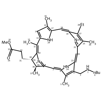 CCCCNCc1c(C)c2cc3nc(c(C)c4cc(C)c(cc5nc(cc1[nH]2)C(C)=C5CC)[nH]4)[C@@H](CCC(=O)OC)[C@@H]3C